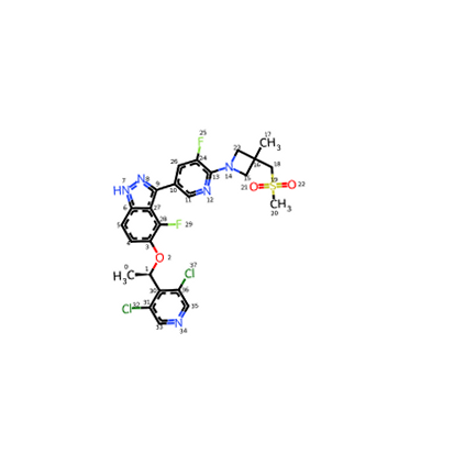 C[C@@H](Oc1ccc2[nH]nc(-c3cnc(N4CC(C)(CS(C)(=O)=O)C4)c(F)c3)c2c1F)c1c(Cl)cncc1Cl